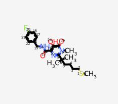 CSCCCCC(C)(C)c1nc(C(=O)NCc2ccc(F)cc2)c(O)c(=O)n1C